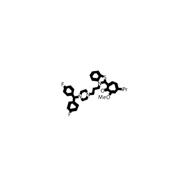 COc1cc(C(C)C)ccc(C2Sc3ccccc3N2CCCN2CCN(C(c3ccc(F)cc3)c3ccc(F)cc3)CC2)c1=O